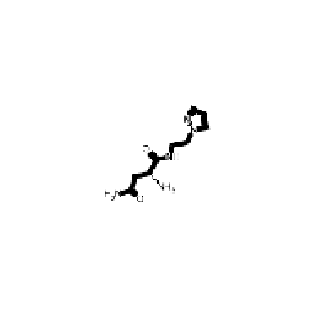 NC(=O)C[C@@H](N)C(=O)NCCn1cccn1